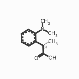 C[C@H](C(=O)O)c1ccccc1N(C)C